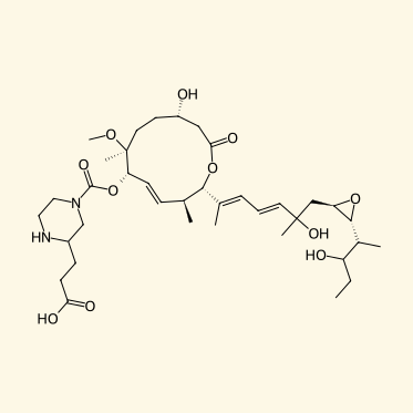 CCC(O)C(C)[C@H]1O[C@@H]1CC(C)(O)/C=C/C=C(\C)[C@H]1OC(=O)C[C@@H](O)CC[C@](C)(OC)[C@@H](OC(=O)N2CCNC(CCC(=O)O)C2)/C=C/[C@@H]1C